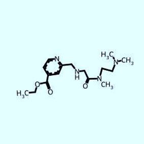 CCOC(=O)c1ccnc(CNCC(=O)N(C)CCN(C)C)c1